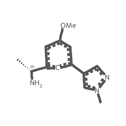 COc1cc(-c2cnn(C)c2)cc([C@@H](C)N)c1